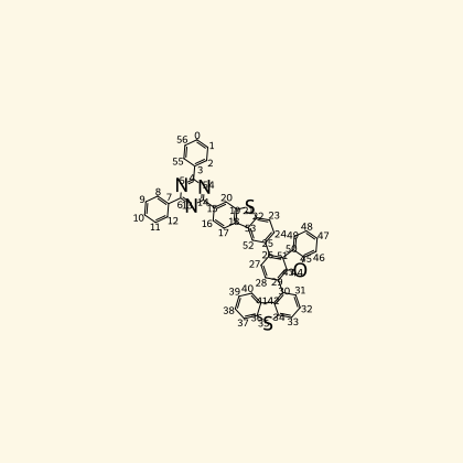 c1ccc(-c2nc(-c3ccccc3)nc(-c3ccc4c(c3)sc3ccc(-c5ccc(-c6cccc7sc8ccccc8c67)c6oc7ccccc7c56)cc34)n2)cc1